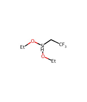 CCO[SiH](CC(F)(F)F)OCC